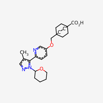 Cc1cnn(C2CCCCO2)c1-c1ccc(OCC23CCC(C(=O)O)(CC2)CC3)cn1